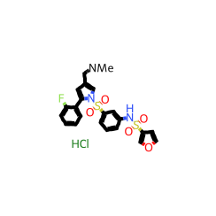 CNCc1cc(-c2ccccc2F)n(S(=O)(=O)c2cccc(NS(=O)(=O)c3ccoc3)c2)c1.Cl